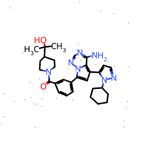 CC(C)(O)C1CCN(C(=O)c2cccc(-c3cc(-c4ccnn4C4CCCCC4)c4c(N)ncnn34)c2)CC1